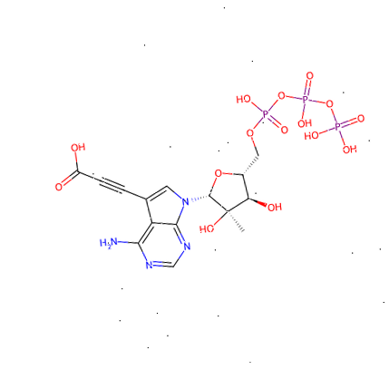 C[C@@]1(O)[C@H](O)[C@@H](COP(=O)(O)OP(=O)(O)OP(=O)(O)O)O[C@H]1n1cc(C#CC(=O)O)c2c(N)ncnc21